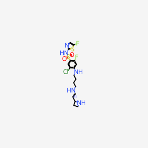 O=S(=O)(Nc1ncc(F)s1)c1cc(Cl)c(NCCCCN/C=C/C2CCN2)cc1F